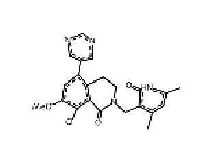 COc1cc(-c2cncnc2)c2c(c1Cl)C(=O)N(Cc1c(C)cc(C)[nH]c1=O)CC2